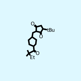 CCC(C)(C)C(=O)C1CCC(CC2C(=O)CC(C(C)(C)C)C2=O)CC1